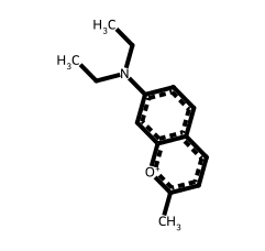 CCN(CC)c1ccc2ccc(C)[o+]c2c1